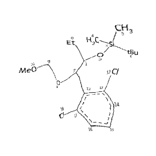 CCC(O[Si](C)(C)C(C)(C)C)C(OCOC)c1c(Cl)cccc1Cl